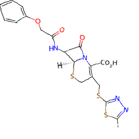 Cc1nnc(SCC2=C(C(=O)O)N3C(=O)C(NC(=O)COc4ccccc4)[C@@H]3SC2)s1